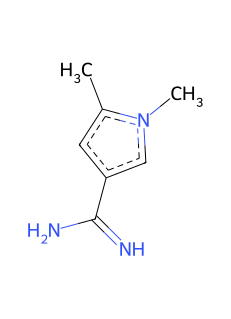 Cc1cc(C(=N)N)cn1C